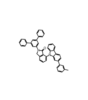 Cc1cccc(-c2ccc3c4ccccc4n(-c4cccc5c4C(=O)N(c4cc(-c6ccccc6)cc(-c6ccccc6)c4)C5)c3c2)c1